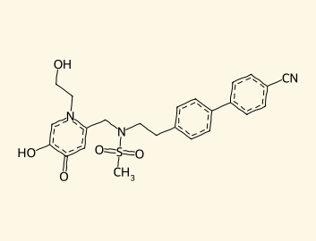 CS(=O)(=O)N(CCc1ccc(-c2ccc(C#N)cc2)cc1)Cc1cc(=O)c(O)cn1CCO